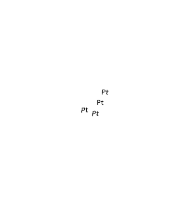 [Pt].[Pt].[Pt].[Pt]